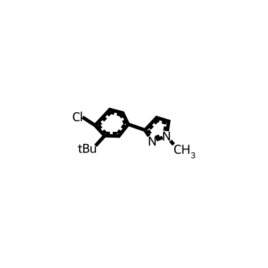 Cn1ccc(-c2ccc(Cl)c(C(C)(C)C)c2)n1